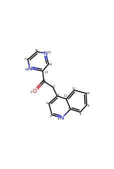 O=C(Cc1ccnc2ccccc12)c1cnccn1